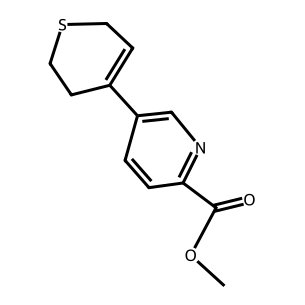 COC(=O)c1ccc(C2=CCSCC2)cn1